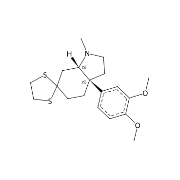 COc1ccc([C@]23CCN(C)[C@H]2CC2(CC3)SCCS2)cc1OC